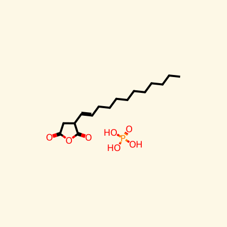 CCCCCCCCCCC=CC1CC(=O)OC1=O.O=P(O)(O)O